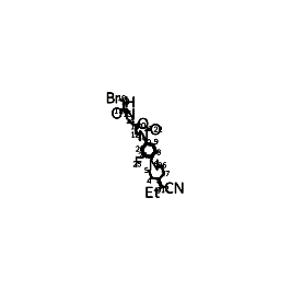 CCC(C#N)=C1CCN(c2ccc(N3CC(CNC(=O)CBr)OC3=O)cc2F)CC1